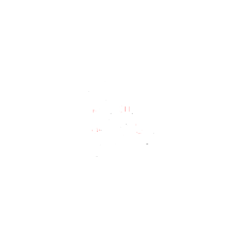 CC(C)CCC(=O)C1(OC(=O)CC(C)(C)C)C(O)=C(C(=O)CC(C)C)C(=O)C1CCC(C)C